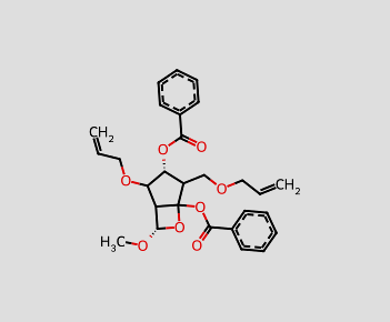 C=CCOCC1[C@@H](OC(=O)c2ccccc2)C(OCC=C)C2[C@@H](OC)OC21OC(=O)c1ccccc1